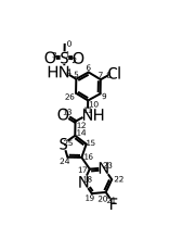 CS(=O)(=O)Nc1cc(Cl)cc(NC(=O)c2cc(-c3ncc(F)cn3)cs2)c1